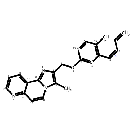 C=C/C=C\c1nc(OCc2nc3c4cccnc4ccn3c2C)ncc1C